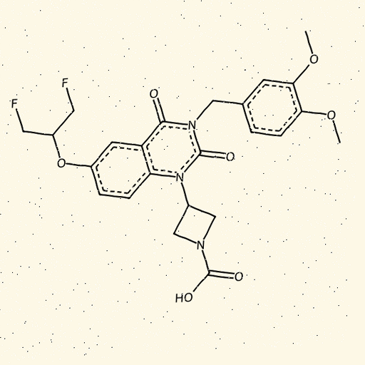 COc1ccc(Cn2c(=O)c3cc(OC(CF)CF)ccc3n(C3CN(C(=O)O)C3)c2=O)cc1OC